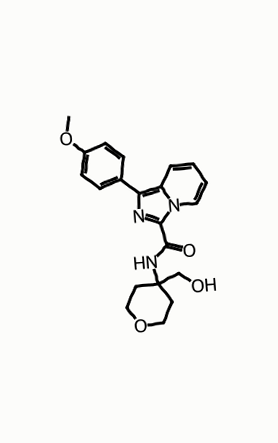 COc1ccc(-c2nc(C(=O)NC3(CO)CCOCC3)n3ccccc23)cc1